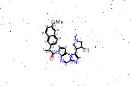 CCC1CN(C)CC1c1cnc2cnc3c(ccn3C(=O)C(C)c3ccc4cc(OC)ccc4c3)n12